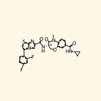 CN1C(=O)[C@@H](NC(=O)c2cn3c(-c4ccc(F)cc4F)csc3n2)COc2cc(C(=O)NC3CC3)ccc21